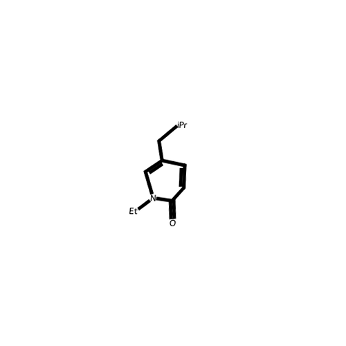 CCn1cc(CC(C)C)ccc1=O